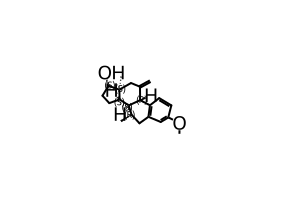 C=C1C[C@]2(C)[C@@H](O)CC[C@H]2[C@@H]2[C@H](C)Cc3cc(OC)ccc3[C@@H]12